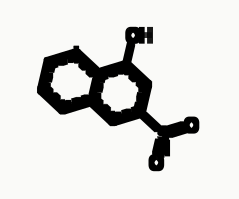 O=[SH](=O)c1cc(O)c2[c]cccc2c1